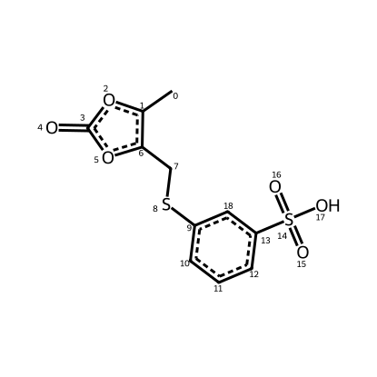 Cc1oc(=O)oc1CSc1cccc(S(=O)(=O)O)c1